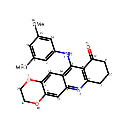 COc1cc(Nc2c3c(nc4cc5c(cc24)OCCO5)CCCC3=O)cc(OC)c1